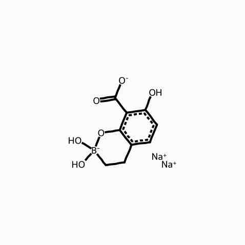 O=C([O-])c1c(O)ccc2c1O[B-](O)(O)CC2.[Na+].[Na+]